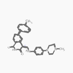 Cc1ccc(-c2ccc3c(c2)/C(=C/Nc2ccc(N4CCN(C)CC4)cc2)C(=O)NC3=O)cc1